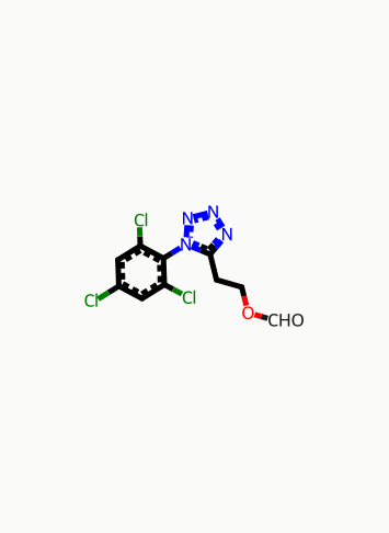 O=COCCc1nnnn1-c1c(Cl)cc(Cl)cc1Cl